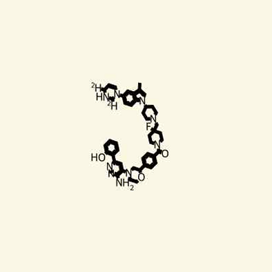 [2H]C1C=CN(c2ccc3c(c2)c(C)cn3C2CCN(CC3(F)CCN(C(=O)c4ccc(C5CN(c6cc(-c7ccccc7O)nnc6N)CCO5)cc4)CC3)CC2)C([2H])N1